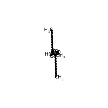 CCC(=O)O.CCCCCCCCCCCCCCCCCC(=O)SC(C)(SC(=O)CCCCCCCCCCCCCCCCC)C(=O)O